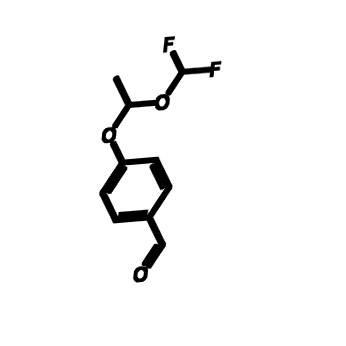 CC(Oc1ccc(C=O)cc1)OC(F)F